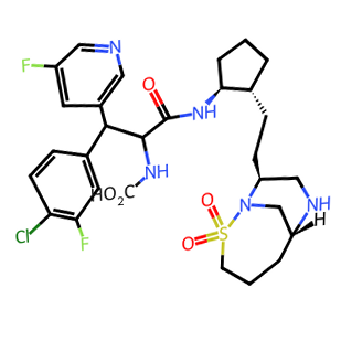 O=C(O)NC(C(=O)N[C@H]1CCC[C@@H]1CC[C@H]1CN[C@@H]2CCCS(=O)(=O)N1C2)C(c1cncc(F)c1)c1ccc(Cl)c(F)c1